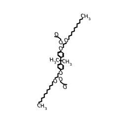 CCCCCCCCCCCCOCC(COc1ccc(C(C)(C)c2ccc(OCC(COCCCCCCCCCCCC)OCC3CO3)cc2)cc1)OCC1CO1